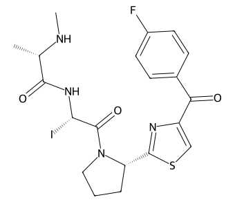 CN[C@@H](C)C(=O)N[C@@H](I)C(=O)N1CCC[C@H]1c1nc(C(=O)c2ccc(F)cc2)cs1